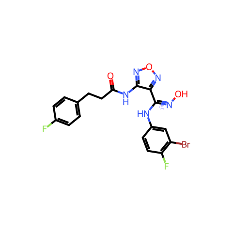 O=C(CCc1ccc(F)cc1)Nc1nonc1/C(=N\O)Nc1ccc(F)c(Br)c1